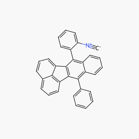 [C-]#[N+]c1ccccc1-c1c2c(c(-c3ccccc3)c3ccccc13)-c1cccc3cccc-2c13